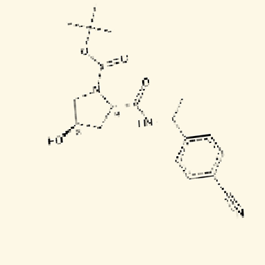 CC(NC(=O)[C@@H]1C[C@@H](O)CN1C(=O)OC(C)(C)C)c1ccc(C#N)cc1